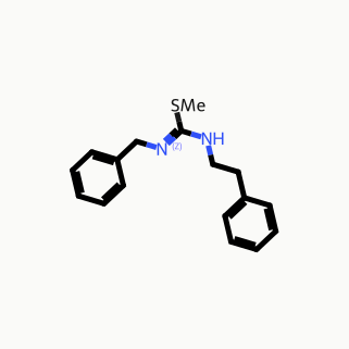 CS/C(=N\Cc1ccccc1)NCCc1ccccc1